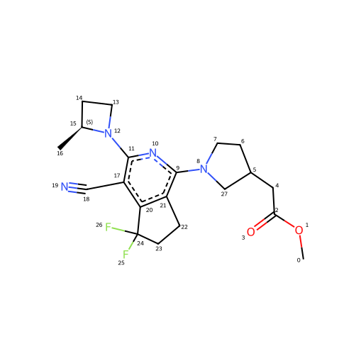 COC(=O)CC1CCN(c2nc(N3CC[C@@H]3C)c(C#N)c3c2CCC3(F)F)C1